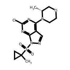 C[C@@H]1COCCN1c1nc(Cl)nc2c1cnn2S(=O)(=O)C1(C)CC1